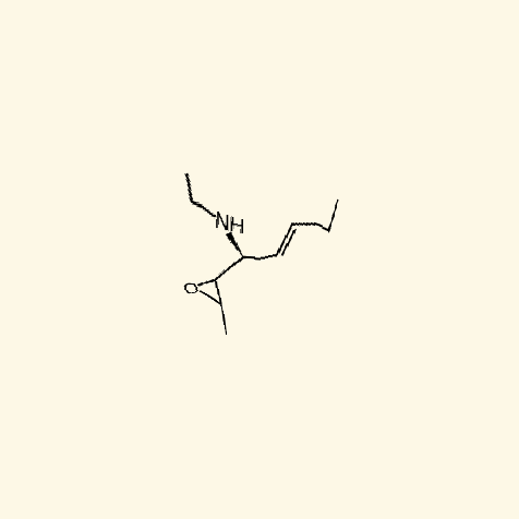 CC/C=C/[C@H](NCC)C1OC1C